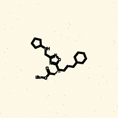 CC(C)(C)OC(=O)C[C@@H](CCCC1CCCCC1)c1nc(CNC2CCCC2)no1